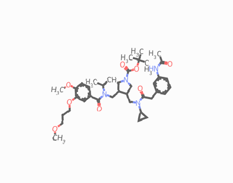 COCCCOc1cc(C(=O)N(CC2CN(C(=O)OC(C)(C)C)CC2CN(C(=O)Cc2cccc(NC(C)=O)c2)C2CC2)C(C)C)ccc1OC